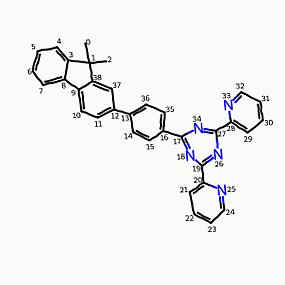 CC1(C)c2ccccc2-c2ccc(-c3ccc(-c4nc(-c5ccccn5)nc(-c5ccccn5)n4)cc3)cc21